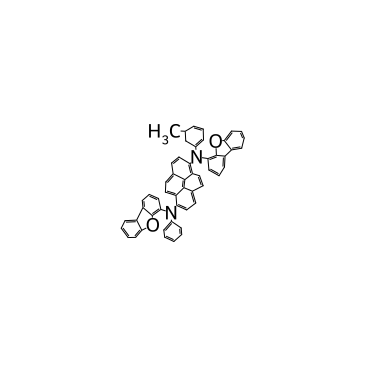 CC1C=CC=C(N(c2ccc3ccc4c(N(c5ccccc5)c5cccc6c5oc5ccccc56)ccc5ccc2c3c54)c2cccc3c2oc2ccccc23)C1